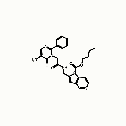 CCCCOC(=O)n1c(CNC(=O)Cn2c(-c3ccccc3)ncc(N)c2=O)cc2cnccc21